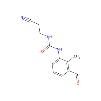 Cc1c(C=O)cccc1NC(=O)NCCC#N